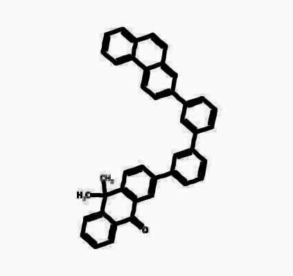 CC1(C)c2ccccc2C(=O)c2cc(-c3cccc(-c4cccc(-c5ccc6c(ccc7ccccc76)c5)c4)c3)ccc21